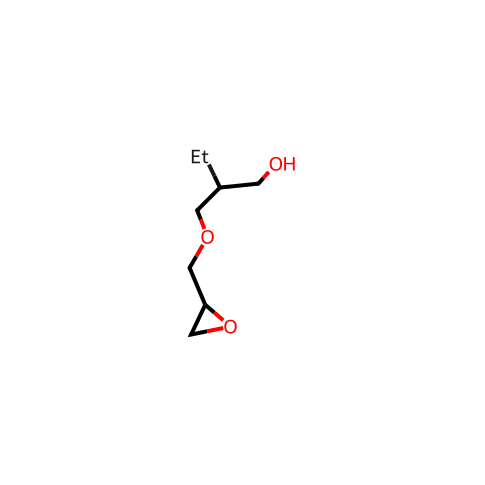 CCC(CO)COCC1CO1